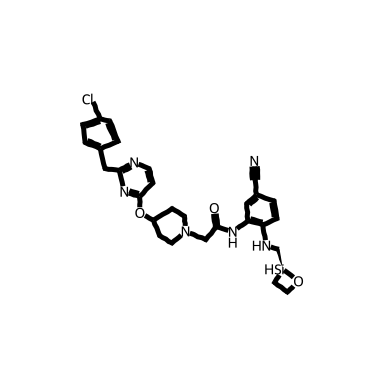 N#Cc1ccc(NC[Si@@H]2CCO2)c(NC(=O)CN2CCC(Oc3ccnc(Cc4ccc(Cl)cc4)n3)CC2)c1